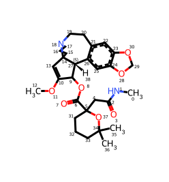 CNC(=O)CC1(C(=O)OC2C(OC)=CC34CCCN3CCc3cc5c(cc3[C@H]24)OCO5)CCCC(C)(C)O1